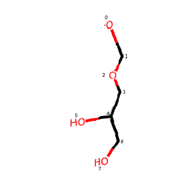 [O]COCC(O)CO